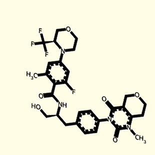 Cc1cc(N2CCOC[C@@H]2C(F)(F)F)cc(F)c1C(=O)N[C@H](CO)Cc1ccc(-n2c(=O)c3c(n(C)c2=O)CCOC3)cc1